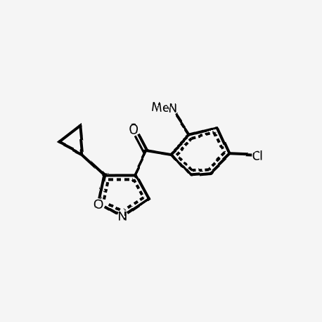 CNc1cc(Cl)ccc1C(=O)c1cnoc1C1CC1